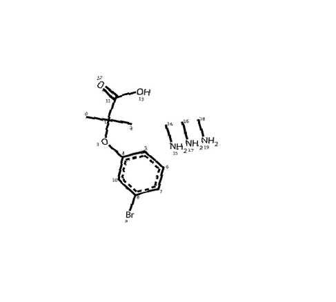 CC(C)(Oc1cccc(Br)c1)C(=O)O.CN.CN.CN